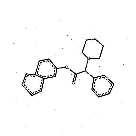 O=C(Oc1ccc2ccccc2c1)C(c1ccccc1)N1CCCCC1